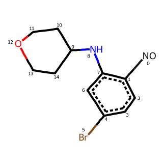 O=Nc1ccc(Br)cc1NC1CCOCC1